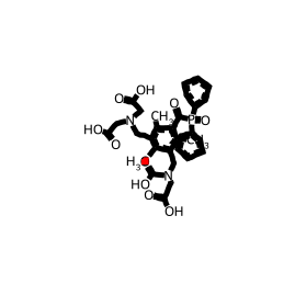 Cc1c(CN(CC(=O)O)CC(=O)O)c(C)c(C(=O)P(=O)(c2ccccc2)c2ccccc2)c(C)c1CN(CC(=O)O)C(=O)O